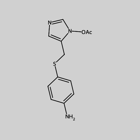 CC(=O)On1cncc1CSc1ccc(N)cc1